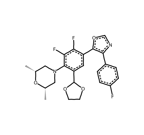 C[C@@H]1CN(c2c(C3OCCO3)cc(-c3ocnc3-c3ccc(F)cc3)c(F)c2F)C[C@H](C)O1